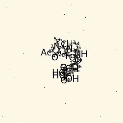 CC(=O)c1cn(C2CC2)c2c(Cl)c(N3CCCC[C@@H](NC(=O)Oc4ccc(CC(P(=O)(O)O)P(=O)(O)O)cc4)C3)c(F)cc2c1=O